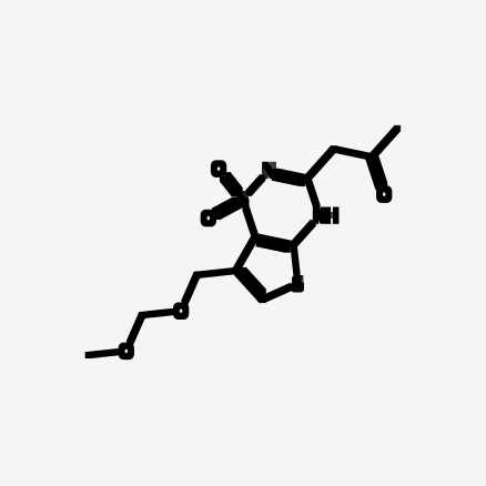 COCOCc1csc2c1S(=O)(=O)N=C(CC(C)=O)N2